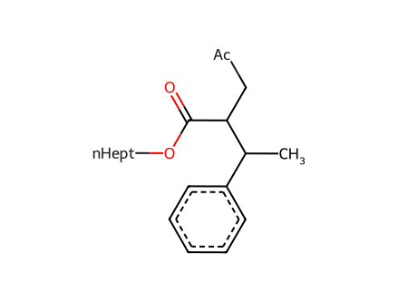 CCCCCCCOC(=O)C(CC(C)=O)C(C)c1ccccc1